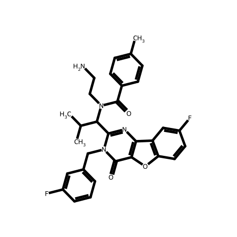 Cc1ccc(C(=O)N(CCN)C(c2nc3c(oc4ccc(F)cc43)c(=O)n2Cc2cccc(F)c2)C(C)C)cc1